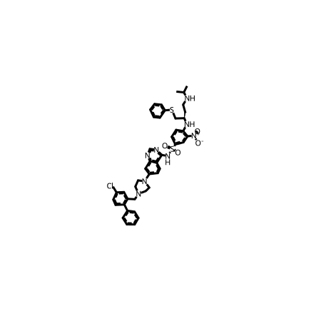 CC(C)NCC[C@H](CSc1ccccc1)Nc1ccc(S(=O)(=O)Nc2ncnc3cc(N4CCN(Cc5cc(Cl)ccc5-c5ccccc5)CC4)ccc23)cc1[N+](=O)[O-]